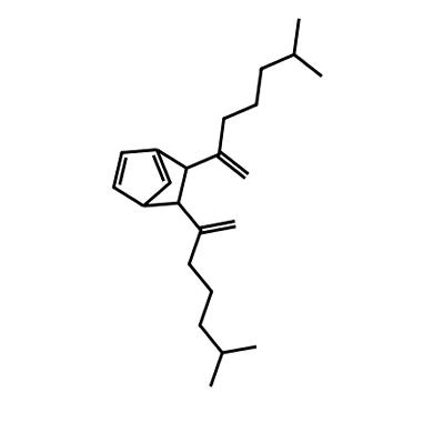 C=C(CCCC(C)C)C1C2=CC(C=C2)C1C(=C)CCCC(C)C